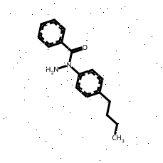 CCCCc1ccc(N(N)C(=O)c2ccccc2)cc1